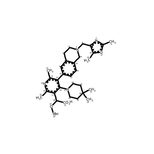 Cc1nc(CN2CCc3cc(-c4c(C)nc(C)c(C(OC(C)(C)C)C(=O)O)c4N4CCC(C)(C)CC4)ccc3C2)c(C)o1